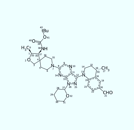 C[C@@H]1OCC2(CCN(c3cnc4c(N5CC[C@H](C)c6cc(C=O)ccc65)nn(C5CCCCO5)c4n3)CC2)[C@@H]1NC(=O)OC(C)(C)C